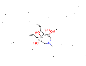 C=CC[C@@]1(O)[C@@H](O)CN(C)C[C@H](O)[C@]1(O)CC=C